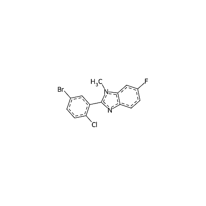 Cn1c(-c2cc(Br)ccc2Cl)nc2ccc(F)cc21